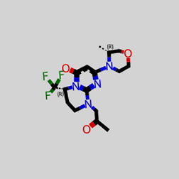 CC(=O)CN1CC[C@H](C(F)(F)F)n2c1nc(N1CCOC[C@H]1C)cc2=O